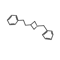 c1ccc(CCC2CN(Cc3ccccc3)C2)cc1